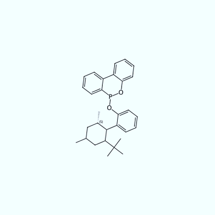 CC1CC(C(C)(C)C)C(c2ccccc2OP2Oc3ccccc3-c3ccccc32)[C@@H](C)C1